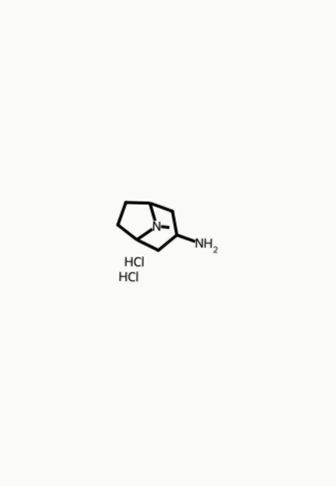 CN1C2CCC1CC(N)C2.Cl.Cl